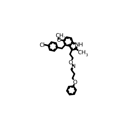 COc1ccc2[nH]c(C)c(CCON=CCCOc3ccccc3)c2c1Cc1ccc(Cl)cc1